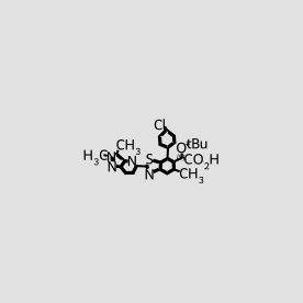 Cc1cc2nc(-c3ccc4nn(C)c(C)c4n3)sc2c(-c2ccc(Cl)cc2)c1[C@H](OC(C)(C)C)C(=O)O